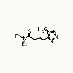 CCN(CC)C(=S)CCCc1nnnn1C